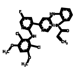 C=CC(=O)Nc1ccccc1Nc1cc(-c2cc(F)cnc2Nc2c(Cl)c(OC)cc(OC)c2Cl)ncn1